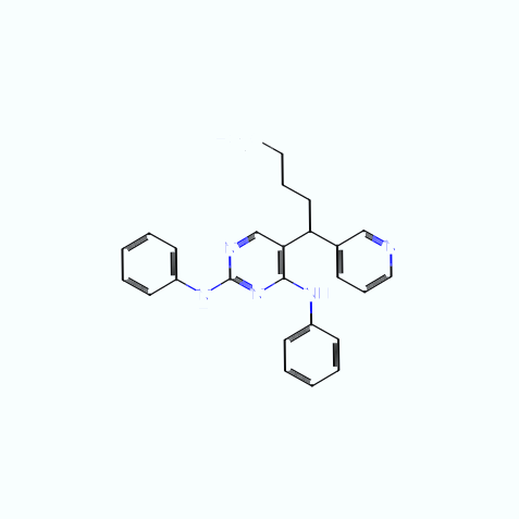 O=C(O)CCCC(c1cccnc1)c1cnc(Nc2ccccc2)nc1Nc1ccccc1